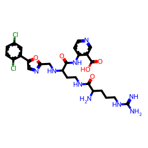 N=C(N)NCCCC(N)C(=O)NCCC(NCc1ncc(-c2cc(Cl)ccc2Cl)o1)C(=O)Nc1ccncc1C(=O)O